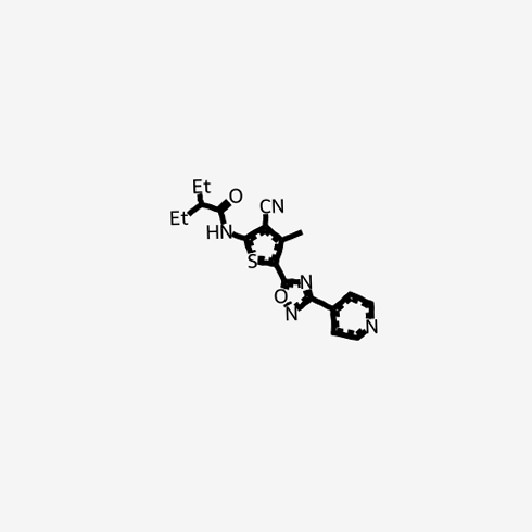 CCC(CC)C(=O)Nc1sc(-c2nc(-c3ccncc3)no2)c(C)c1C#N